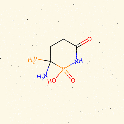 NC1(P)CCC(=O)NP1(=O)O